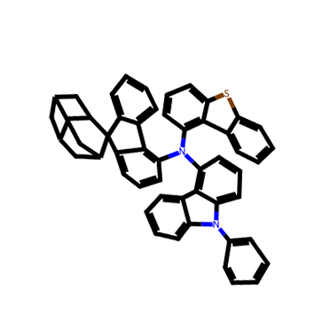 c1ccc(-n2c3ccccc3c3c(N(c4cccc5c4-c4ccccc4C54C5CC6CC(C5)CC4C6)c4cccc5sc6ccccc6c45)cccc32)cc1